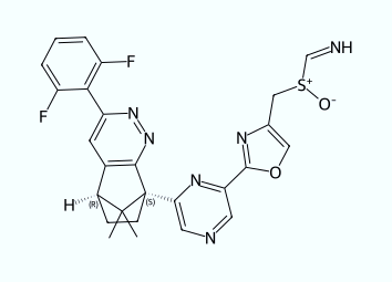 CC1(C)[C@H]2CC[C@]1(c1cncc(-c3nc(C[S+]([O-])C=N)co3)n1)c1nnc(-c3c(F)cccc3F)cc12